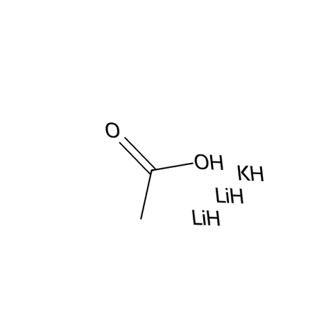 CC(=O)O.[KH].[LiH].[LiH]